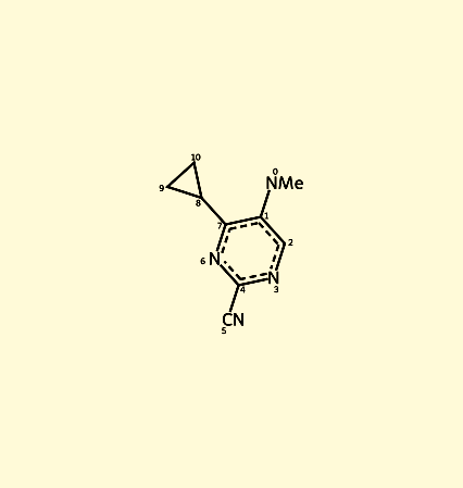 CNc1cnc(C#N)nc1C1CC1